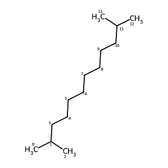 CC(C)CCC[CH]CCCCC(C)C